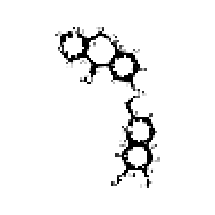 O=C1c2cc(OCc3ccc4cc(F)c(F)cc4n3)ccc2OCc2ncncc21